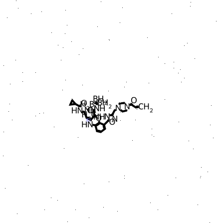 BC(B)(B)NC(=O)C(=N)/C(=C\C(=N)NC(=O)C1CC1)Nc1cccc(-c2nc(CN3CCN(C(=O)C=C)CC3)no2)c1OC